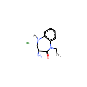 CC(=O)N1C[C@H](N)C(=O)N(CC(F)(F)F)c2ccccc21.Cl